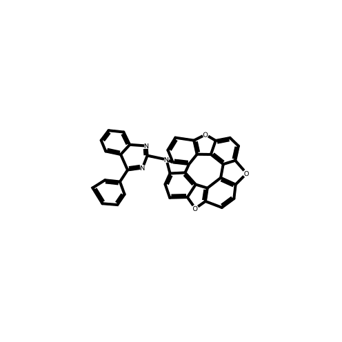 c1ccc(-c2nc(-n3c4ccc5oc6ccc7oc8ccc9oc%10ccc3c3c%10c9c8c7c6c5c34)nc3ccccc23)cc1